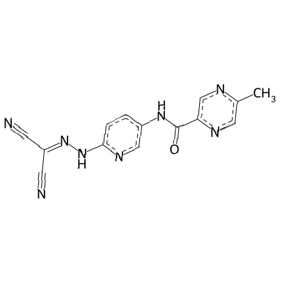 Cc1cnc(C(=O)Nc2ccc(NN=C(C#N)C#N)nc2)cn1